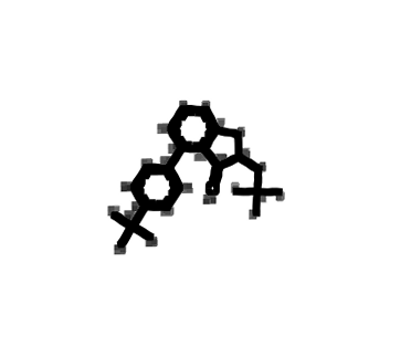 CC(C)(C)CC1Cc2cccc(-c3ccc(C(C)(C)C)cc3)c2C1=O